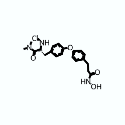 CN(C)C(=O)[C@@H](Cc1ccc(Oc2ccc(CCC(=O)NO)cc2)cc1)NCl